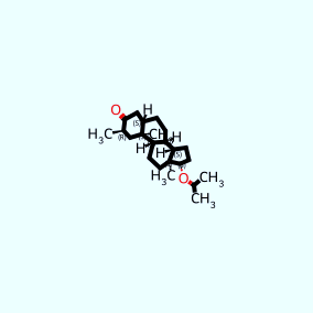 CC(C)O[C@H]1CC[C@H]2[C@@H]3CC[C@H]4CC(=O)[C@H](C)C[C@]4(C)[C@H]3CC[C@]12C